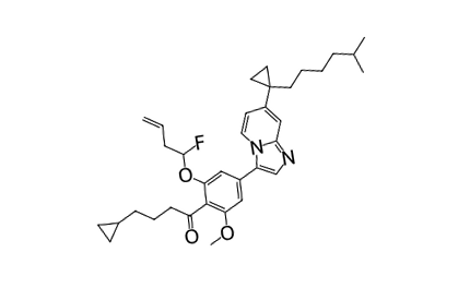 C=CCC(F)Oc1cc(-c2cnc3cc(C4(CCCCC(C)C)CC4)ccn23)cc(OC)c1C(=O)CCCC1CC1